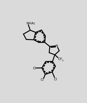 CC(=O)NC1CCc2cc(C3=NCC(c4cc(Cl)c(Cl)c(Cl)c4)(C(F)(F)F)C3)ccc21